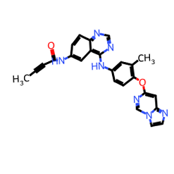 CC#CC(=O)Nc1ccc2ncnc(Nc3ccc(Oc4cc5nccn5cn4)c(C)c3)c2c1